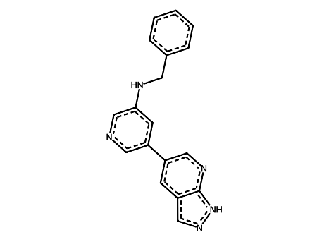 c1ccc(CNc2cncc(-c3cnc4[nH]ncc4c3)c2)cc1